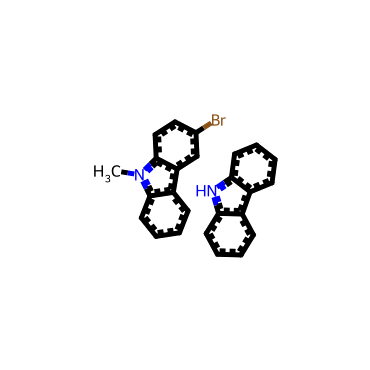 Cn1c2ccccc2c2cc(Br)ccc21.c1ccc2c(c1)[nH]c1ccccc12